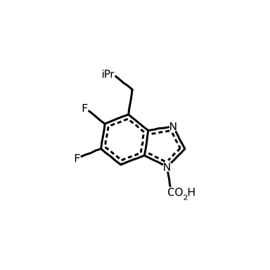 CC(C)Cc1c(F)c(F)cc2c1ncn2C(=O)O